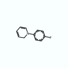 Fc1ccc(N2C=CC=CC2)cc1